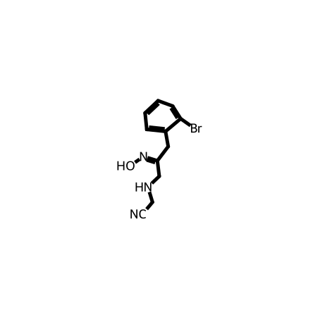 N#CCNCC(Cc1ccccc1Br)=NO